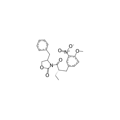 CC[C@@H](Cc1ccc(OC)c([N+](=O)[O-])c1)C(=O)N1C(=O)OCC1Cc1ccccc1